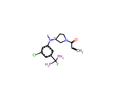 C=CC(=O)N1CC[C@H](N(I)c2cc(Cl)cc(C(F)(P)P)c2)C1